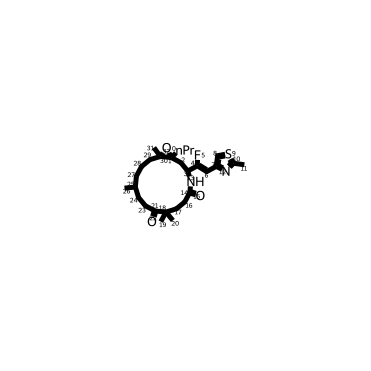 CCCC12CC(C(F)=Cc3csc(C)n3)NC(=O)CCC(C)(C)C(=O)CCC(C)CCCC1(C)O2